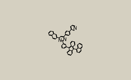 c1cncc(-c2ccc(-c3cc(-c4ccc5ccccc5c4)nc(-c4cccc(-c5c6ccccc6c(-c6cccc7ccccc67)c6ccccc56)c4)n3)cc2)c1